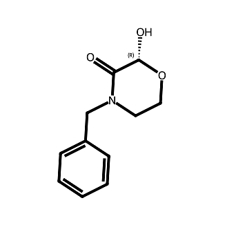 O=C1[C@H](O)OCCN1Cc1ccccc1